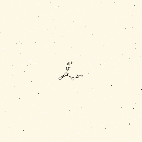 [Al+3].[O]=[Cr]([O-])[O-].[Zr+4]